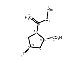 C=C(OC(C)(C)C)N1C[C@H](F)C[C@H]1C(=O)O